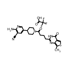 Cc1scc2c(=O)[nH]c(CCCC(=O)N3CCC(c4cnc(N)c(C#N)c4)CC3)nc12.O=C(O)C(F)(F)F